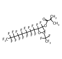 C=C(C)C(=O)OC(F)(F)C(F)(OOC(F)(F)C(F)(F)F)C(F)(F)C(F)(F)C(F)(F)C(F)(F)C(F)(F)C(F)(F)C(F)(F)C(F)(F)F